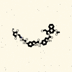 CSC1CC(=O)N(C/C=N/NC(=O)Nc2ccc3[nH]c(C(=O)Nc4ccc5[nH]c(C(=O)N6CC(CCl)c7c6cc(OC(C)=O)c6ccccc76)cc5c4)cc3c2)C1=O